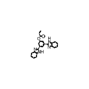 C=CC(=O)Oc1cc(-c2nc3ccccc3[nH]2)cc(-c2nc3ccccc3[nH]2)c1